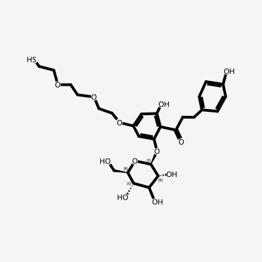 O=C(CCc1ccc(O)cc1)c1c(O)cc(OCCOCCOCCS)cc1O[C@@H]1O[C@H](CO)[C@@H](O)C(O)[C@H]1O